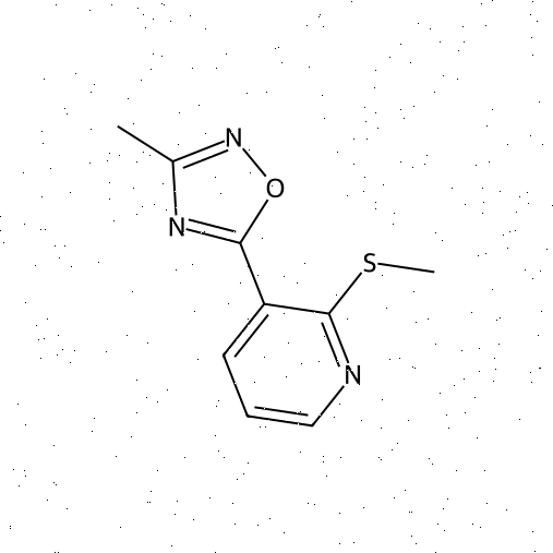 CSc1ncccc1-c1nc(C)no1